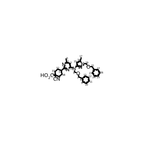 Cc1cc(N(COCc2ccccc2)c2cc(C)n(COCc3ccccc3)n2)nc(C2CCC(C#N)(C(=O)O)CC2)n1